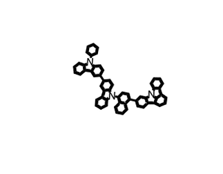 c1ccc(-n2c3ccccc3c3cc(-c4ccc5c(c4)c4ccccc4n5-c4ccc(-c5ccc6c7cccc8c9ccccc9n(c6c5)c87)c5ccccc45)ccc32)cc1